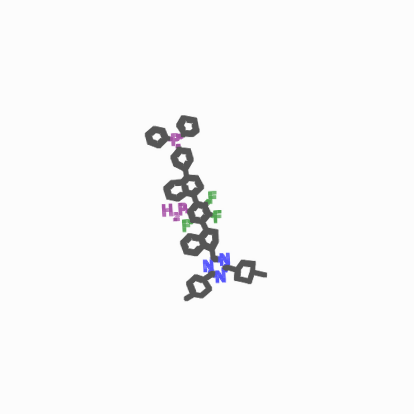 CC1=CC=C(c2nc(C3=CCC(C)C=C3)nc(-c3ccc(-c4c(F)c(F)c(-c5ccc(-c6ccc(P(c7ccccc7)c7ccccc7)cc6)c6ccccc56)c(P)c4F)c4ccccc34)n2)CC1